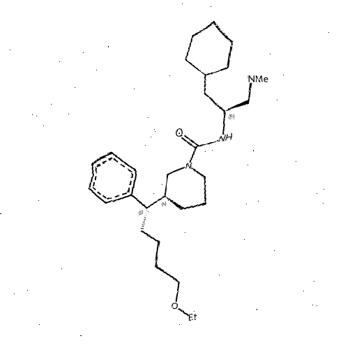 CCOCCCC[C@H](c1ccccc1)[C@@H]1CCCN(C(=O)N[C@H](CNC)CC2CCCCC2)C1